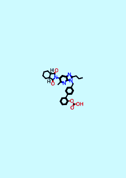 CCCc1nc2cc(N3C(=O)[C@H]4CCCC[C@H]4C3=O)c(C)nc2n1Cc1ccc(-c2ccccc2OC(=O)O)cc1